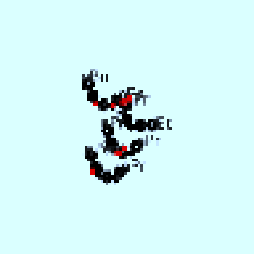 CCCC1CCC(C(C)C2CCC(C(C)c3ccc(C4CCC(CC)CC4)cc3)CC2)CC1.CCCC1CCC(c2ccc(C(C)C3CCC(C(C)C4CCC(CCC)CC4)CC3)cc2)CC1.CCCCC1CCC(c2ccc(C(C)C3CCC(C(C)C4CCC(CCC)CC4)CC3)cc2)CC1.CCCCCC1CCC(c2ccc(C(C)C3CCC(C(C)C4CCC(CCC)CC4)CC3)cc2)CC1